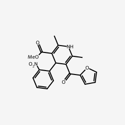 COC(=O)C1=C(C)NC(C)=C(C(=O)c2ccco2)C1c1ccccc1[N+](=O)[O-]